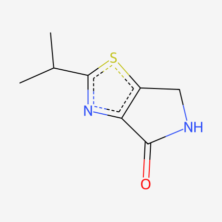 CC(C)c1nc2c(s1)CNC2=O